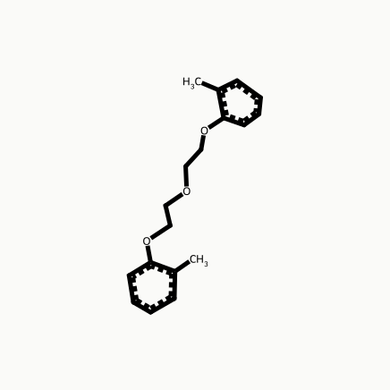 Cc1ccccc1OCCOCCOc1ccccc1C